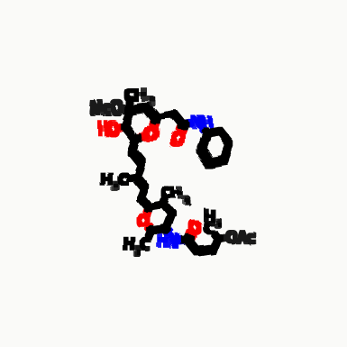 COC1(C)C[C@@H](CC(=O)NC2CCCCC2)OC(/C=C/C(C)=C/CC2OC(C)C(NC(=O)/C=C\C(C)OC(C)=O)CC2C)[C@H]1O